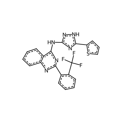 FC(F)(F)c1ccccc1-c1nc(Nc2n[nH]c(-c3cccs3)n2)c2ccccc2n1